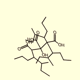 CCCC(C(C)CC)C(C(=O)O)C(O)(C(=O)O)C(C(=O)O)(C(CCC)C(C)CC)C(CCC)C(C)CC